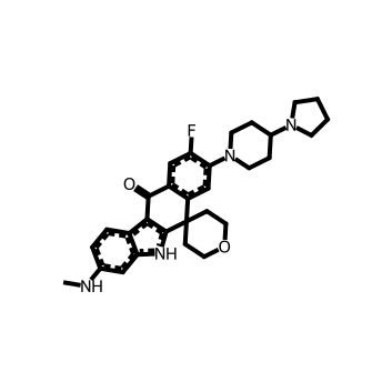 CNc1ccc2c3c([nH]c2c1)C1(CCOCC1)c1cc(N2CCC(N4CCCC4)CC2)c(F)cc1C3=O